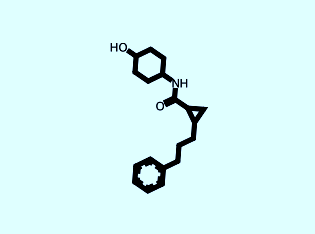 O=C(NC1CCC(O)CC1)C1CC1CCCc1ccccc1